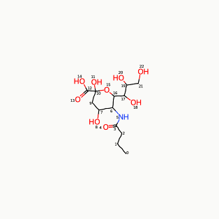 CCCC(=O)NC1C(O)CC(O)(C(=O)O)OC1C(O)C(O)CO